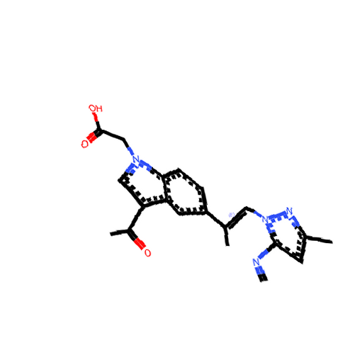 C=Nc1cc(C)nn1/C=C(\C)c1ccc2c(c1)c(C(C)=O)cn2CC(=O)O